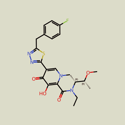 CCN1C(=O)c2c(O)c(=O)c(-c3nnc(Cc4ccc(F)cc4)s3)cn2C[C@@H]1[C@@H](C)OC